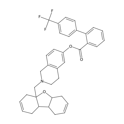 O=C(Oc1ccc2c(c1)CCN(CC13CC=CCC1C1CC=CCC1O3)C2)c1ccccc1-c1ccc(C(F)(F)F)cc1